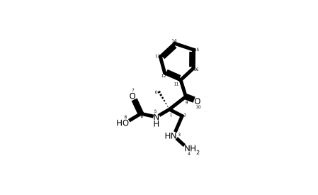 C[C@](CNN)(NC(=O)O)C(=O)c1ccccc1